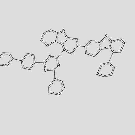 c1ccc(-c2ccc(-c3nc(-c4ccccc4)nc(-c4cc(-c5ccc6c(c5)sc5cccc(-c7ccccc7)c56)cc5oc6ccccc6c45)n3)cc2)cc1